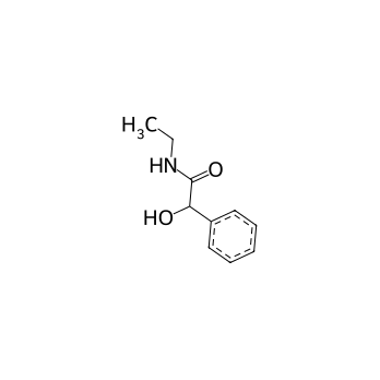 CCNC(=O)C(O)c1ccccc1